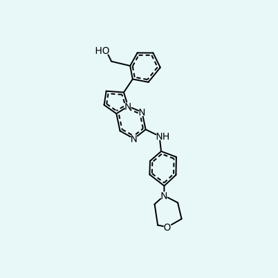 OCc1ccccc1-c1ccc2cnc(Nc3ccc(N4CCOCC4)cc3)nn12